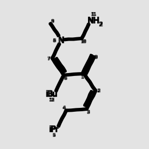 C=C(/C=C\CC(C)C)/C(=C\N(C)CN)C(C)CC